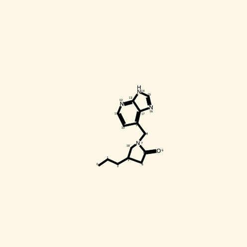 CCCC1CC(=O)N(Cc2ccnc3[nH]cnc23)C1